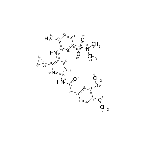 COc1ccc(CC(=O)Nc2ncc(Nc3cc(S(=O)(=O)N(C)C)ccc3C)c(C3CC3)n2)cc1OC